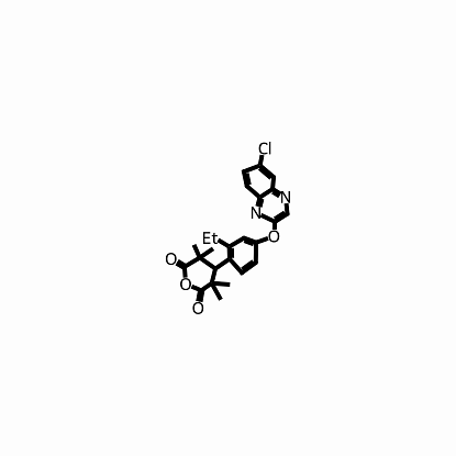 CCc1cc(Oc2cnc3cc(Cl)ccc3n2)ccc1C1C(C)(C)C(=O)OC(=O)C1(C)C